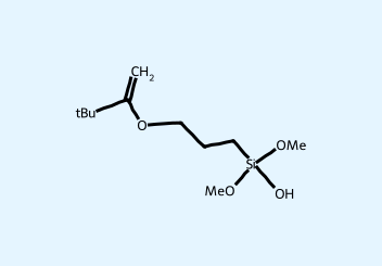 C=C(OCCC[Si](O)(OC)OC)C(C)(C)C